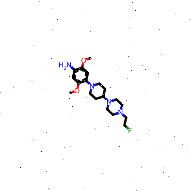 COc1cc(N2CCC(N3CCN(CCF)CC3)CC2)c(OC)cc1N